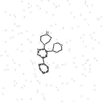 c1ccc(-c2cc(N3CCOCC3)c(N3CCNCC3)nn2)cc1